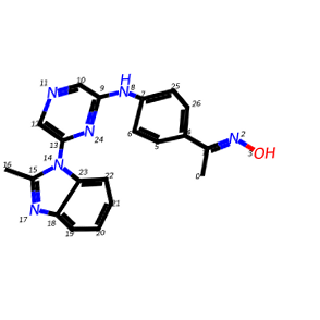 C/C(=N\O)c1ccc(Nc2cncc(-n3c(C)nc4ccccc43)n2)cc1